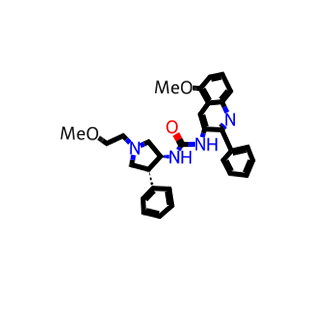 COCCN1C[C@@H](NC(=O)Nc2cc3c(OC)cccc3nc2-c2ccccc2)[C@H](c2ccccc2)C1